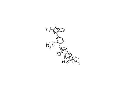 Cc1cc(-c2nc(N)nn3cccc23)ccc1CNC(=O)c1noc(C(C)(C)C)n1